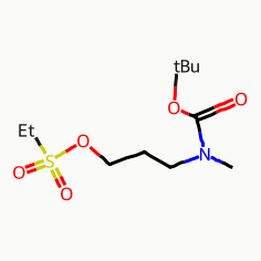 CCS(=O)(=O)OCCCN(C)C(=O)OC(C)(C)C